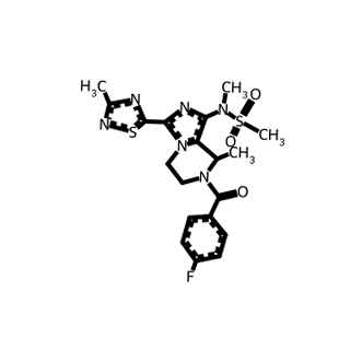 Cc1nsc(-c2nc(N(C)S(C)(=O)=O)c3n2CCN(C(=O)c2ccc(F)cc2)C3C)n1